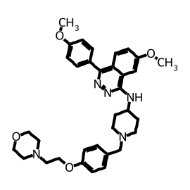 COc1ccc(-c2nnc(NC3CCN(Cc4ccc(OCCN5CCOCC5)cc4)CC3)c3cc(OC)ccc23)cc1